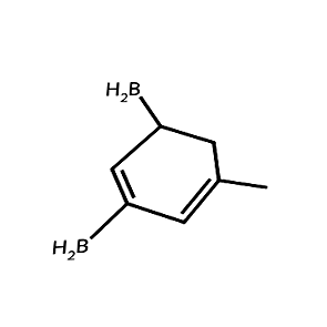 BC1=CC(B)CC(C)=C1